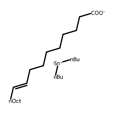 CCCCCCCCC=CCCCCCCCC(=O)[O-].CCC[CH2][Sn+][CH2]CCC